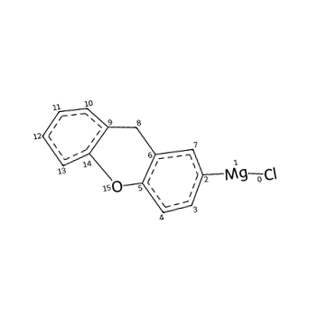 [Cl][Mg][c]1ccc2c(c1)Cc1ccccc1O2